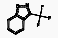 FC(F)(F)c1noc2ccccc12